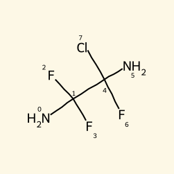 NC(F)(F)C(N)(F)Cl